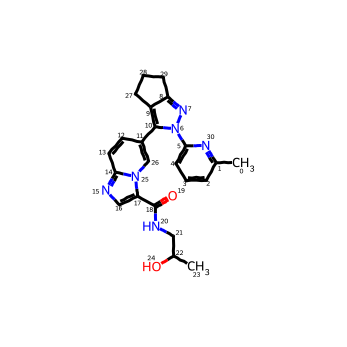 Cc1cccc(-n2nc3c(c2-c2ccc4ncc(C(=O)NCC(C)O)n4c2)CCC3)n1